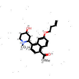 C=CCCOc1ccc2c(C(=O)OC)ccc(C3CC(O)CCN3C(=O)O)c2c1